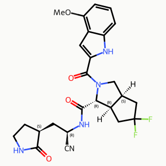 COc1cccc2[nH]c(C(=O)N3C[C@H]4CC(F)(F)C[C@H]4[C@@H]3C(=O)N[C@@H](C#N)C[C@@H]3CCNC3=O)cc12